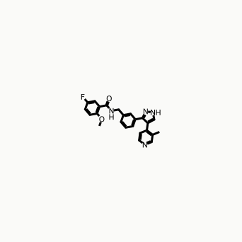 COc1ccc(F)cc1C(=O)NCc1cccc(-c2n[nH]cc2-c2ccncc2C)c1